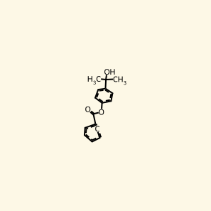 CC(C)(O)c1ccc(OC(=O)c2ccccc2)cc1